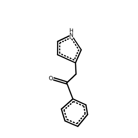 O=C(Cc1cc[nH]c1)c1ccccc1